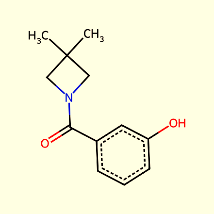 CC1(C)CN(C(=O)c2cccc(O)c2)C1